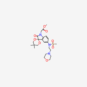 COC(=O)CN1C(=O)C2(OCC(C)(C)CO2)c2cc(N(CCN3CCOCC3)S(C)(=O)=O)ccc21